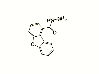 NNC(=O)c1cccc2oc3ccccc3c12